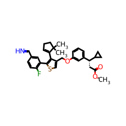 COC(=O)C[C@H](c1cccc(OCc2csc(-c3cc(C=N)ccc3F)c2C2=CCCC2(C)C)c1)C1CC1